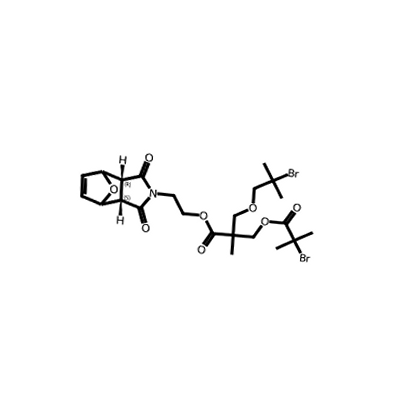 CC(C)(Br)COCC(C)(COC(=O)C(C)(C)Br)C(=O)OCCN1C(=O)[C@@H]2C3C=CC(O3)[C@@H]2C1=O